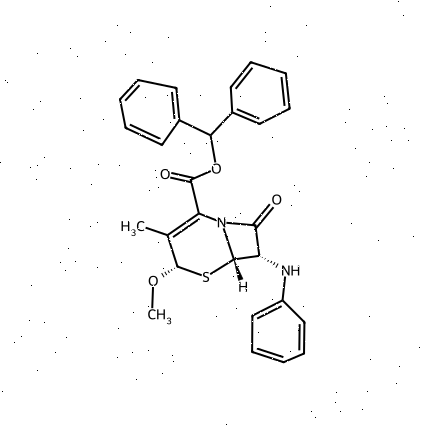 CO[C@H]1S[C@H]2[C@@H](Nc3ccccc3)C(=O)N2C(C(=O)OC(c2ccccc2)c2ccccc2)=C1C